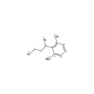 CC(=O)CCC(C(C)=O)c1c(C#N)cccc1C(C)(C)C